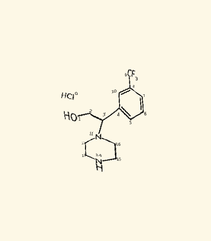 Cl.OCC(c1cccc(C(F)(F)F)c1)N1CCNCC1